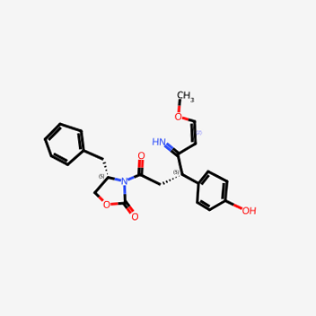 CO/C=C\C(=N)[C@@H](CC(=O)N1C(=O)OC[C@@H]1Cc1ccccc1)c1ccc(O)cc1